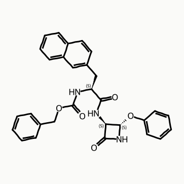 O=C(N[C@@H](Cc1ccc2ccccc2c1)C(=O)N[C@@H]1C(=O)N[C@H]1Oc1ccccc1)OCc1ccccc1